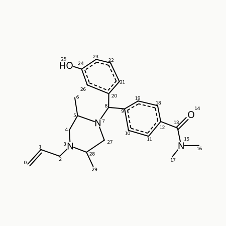 C=CCN1CC(C)N(C(c2ccc(C(=O)N(C)C)cc2)c2cccc(O)c2)CC1C